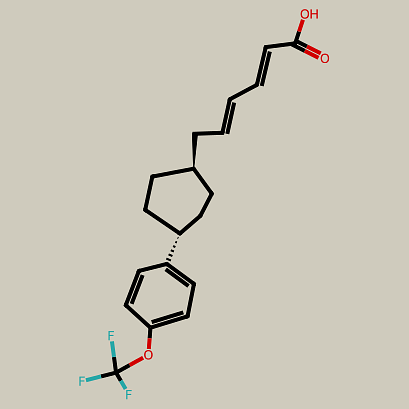 O=C(O)/C=C/C=C/C[C@H]1CC[C@H](c2ccc(OC(F)(F)F)cc2)CC1